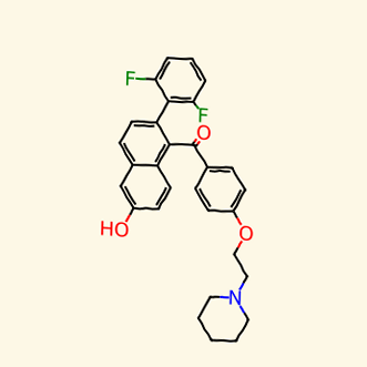 O=C(c1ccc(OCCN2CCCCC2)cc1)c1c(-c2c(F)cccc2F)ccc2cc(O)ccc12